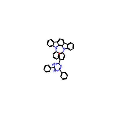 c1ccc(C2=NC(c3ccc(-n4c5ccccc5c5ccc6c7ccccc7n(-c7ccccc7)c6c54)cc3)NC(c3ccccc3)N2)cc1